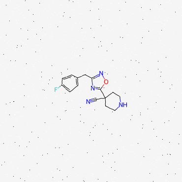 N#CC1(c2nc(Cc3ccc(F)cc3)no2)CCNCC1